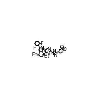 CC[C@H]1CC[C@](CC)(c2ccnc(-n3cnc([C@H]4CCS(=O)(=O)C4)n3)n2)c2nnc(-c3c(F)cccc3F)cc21